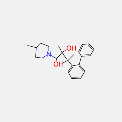 CC1CCN(C(O)C(C)(O)C(C)(C)c2ccccc2-c2ccccc2)CC1